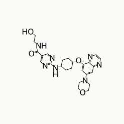 O=C(NCCO)c1cnc(N[C@H]2CC[C@@H](Oc3cc(N4CCOCC4)cc4nccnc34)CC2)nc1